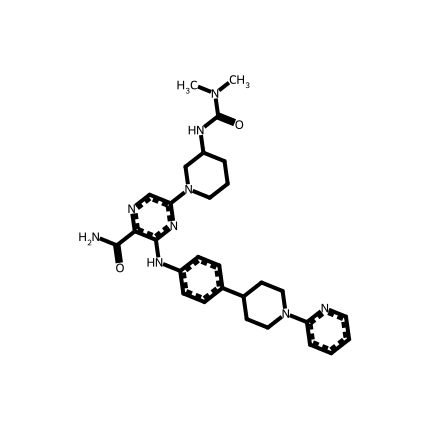 CN(C)C(=O)NC1CCCN(c2cnc(C(N)=O)c(Nc3ccc(C4CCN(c5ccccn5)CC4)cc3)n2)C1